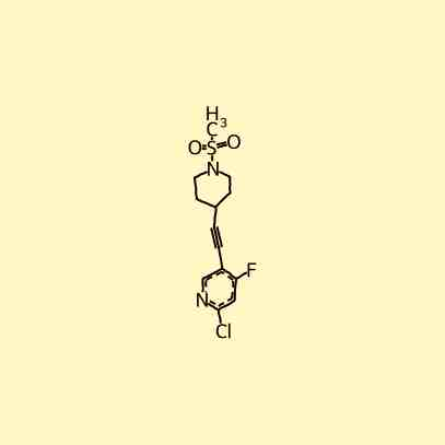 CS(=O)(=O)N1CCC(C#Cc2cnc(Cl)cc2F)CC1